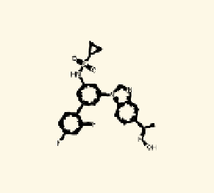 C/C(=N\O)c1ccc2c(c1)ncn2-c1cc(NS(=O)(=O)C2CC2)cc(-c2ccc(F)cc2F)c1